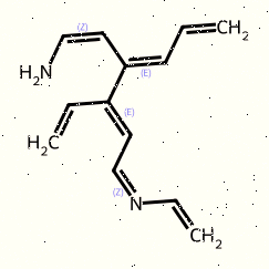 C=C/C=C(\C=C/N)C(/C=C)=C/C=N\C=C